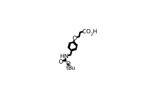 CC(C)(C)OC(=O)NCc1ccc(OCCC(=O)O)cc1